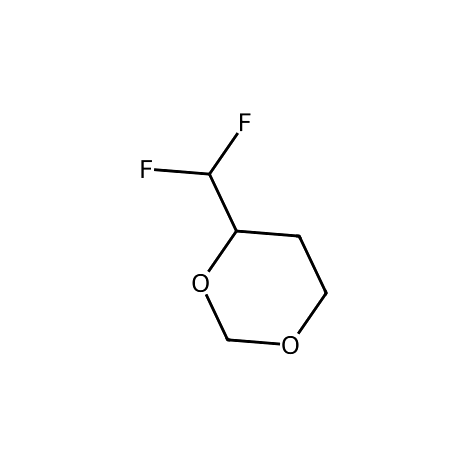 FC(F)C1CCOCO1